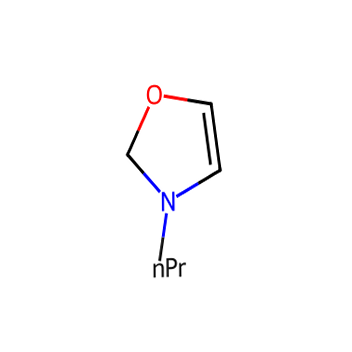 CCCN1C=COC1